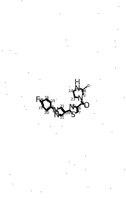 C[C@H]1CN(C(=O)c2csc(-c3cnn(-c4ccc(F)cc4)c3)n2)CCN1